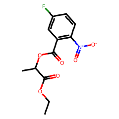 CCOC(=O)C(C)OC(=O)c1cc(F)ccc1[N+](=O)[O-]